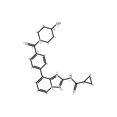 O=C(Nc1nc2c(-c3ccc(C(=O)N4CCC(O)CC4)cc3)cccn2n1)C1CC1